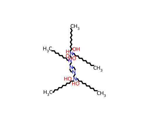 CCCCCCCCCCC(O)CN(CCN1CCN(CCN(CCN(CC(O)CCCCCCCCCC)CC(O)CCCCCCCCCC)CC(O)CCCCCCCC)CC1)CC(O)CCCCCCCCCC